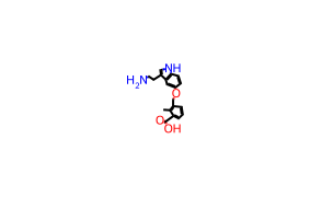 Cc1c(COc2ccc3[nH]cc(CCN)c3c2)cccc1C(=O)O